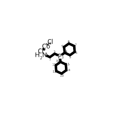 NCCP(C1CCCCC1)C1CCCCC1.[Cl][Co][Cl]